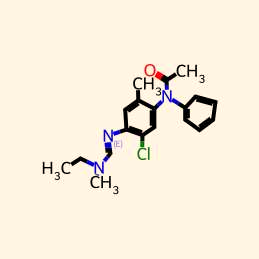 CCN(C)/C=N/c1cc(C)c(N(C(C)=O)c2ccccc2)cc1Cl